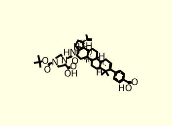 C=C(C)[C@@H]1CC[C@]2(NC(=O)N3CCN(C(=O)OC(C)(C)C)CC3C(=O)O)CC[C@]3(C)[C@H](CC[C@@H]4[C@@]5(C)CC=C(c6ccc(C(=O)O)cc6)C(C)(C)[C@@H]5CC[C@]43C)[C@@H]12